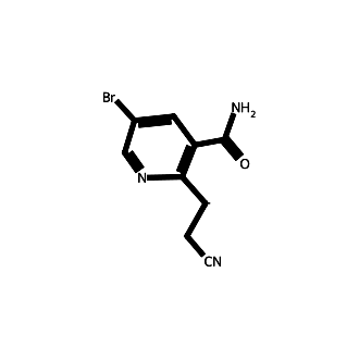 N#CC[CH]c1ncc(Br)cc1C(N)=O